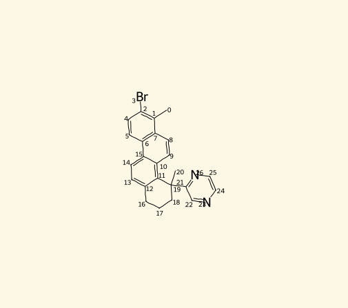 Cc1c(Br)ccc2c1ccc1c3c(ccc12)CCCC3(C)c1cnccn1